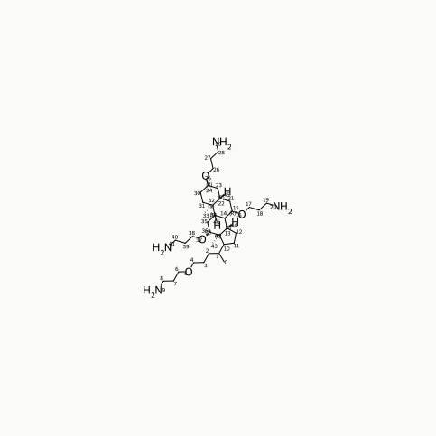 CC(CCCOCCCN)C1CC[C@H]2C3[C@H](OCCCN)C[C@H]4C[C@H](OCCCN)CC[C@]4(C)[C@H]3C[C@H](OCCCN)[C@]12C